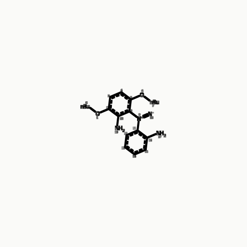 CCCCOc1ccc(OCCCC)c([N+](=[N-])c2ccccc2N)c1N